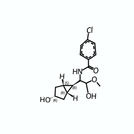 COC(O)C(NC(=O)c1ccc(Cl)cc1)[C@H]1[C@@H]2C[C@H](O)C[C@@H]21